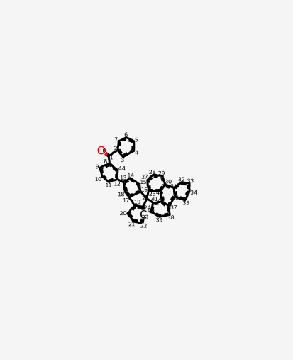 O=C(c1ccccc1)c1cccc(-c2ccc3c(c2)-c2ccccc2C32c3cccc4c5ccccc5c5cccc2c5c34)c1